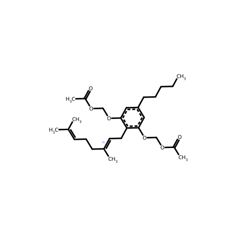 CCCCCc1cc(OCOC(C)=O)c(C/C=C(\C)CCC=C(C)C)c(OCOC(C)=O)c1